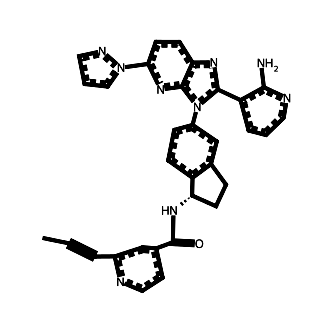 CC#Cc1cc(C(=O)N[C@H]2CCc3cc(-n4c(-c5cccnc5N)nc5ccc(-n6cccn6)nc54)ccc32)ccn1